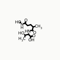 CC(CCC(=O)NO)C(=O)N[C@H](C(=O)O)C(C)O